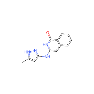 Cc1cc(Nc2cc3ccccc3c(=O)[nH]2)n[nH]1